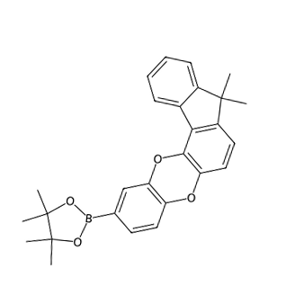 CC1(C)c2ccccc2-c2c1ccc1c2Oc2cc(B3OC(C)(C)C(C)(C)O3)ccc2O1